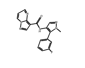 Cn1ncc(NC(=O)c2cnn3cccnc23)c1-c1cccc(F)c1